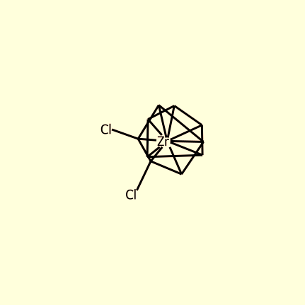 Cl[C]12[CH]3[CH]4[CH]5[C]1(Cl)[Zr]43521678[CH]2[CH]1[CH]6[CH]7[CH]28